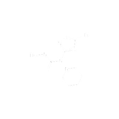 CC(C)c1cnc(N(C(=O)NO)N2CCCCC2)s1